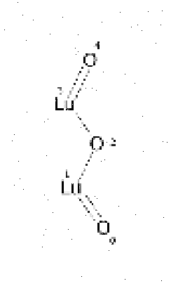 [O]=[Lu][O][Lu]=[O]